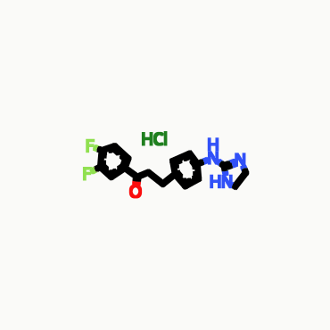 Cl.O=C(CCc1ccc(NC2=NCCN2)cc1)c1ccc(F)c(F)c1